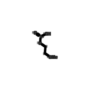 COCC[O][Ti](=[O])[OH]